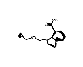 C=CCOCCn1ccc2cccc(C(=O)O)c21